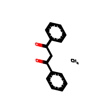 C.O=C(CC(=O)c1ccccc1)c1ccccc1